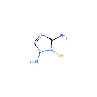 NC1N=CN(N)N1S